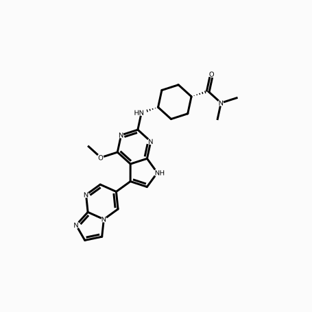 COc1nc(N[C@H]2CC[C@@H](C(=O)N(C)C)CC2)nc2[nH]cc(-c3cnc4nccn4c3)c12